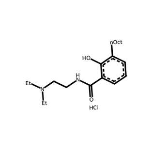 CCCCCCCCc1cccc(C(=O)NCCN(CC)CC)c1O.Cl